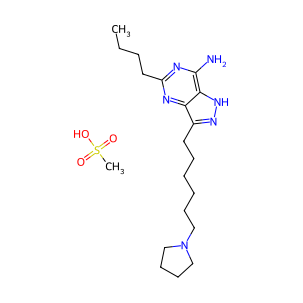 CCCCc1nc(N)c2[nH]nc(CCCCCCN3CCCC3)c2n1.CS(=O)(=O)O